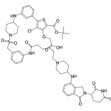 CC(C)(C)OC(=O)c1sc(-c2cccc(NC3CCN(S(=O)(=O)Cc4cccc(NC(=O)CCCCCN5CCC(Nc6cccc7c6CN(C6CCC(=O)NC6=O)C7=O)CC5)c4)CC3)c2)c(Cl)c1OCC(=O)O